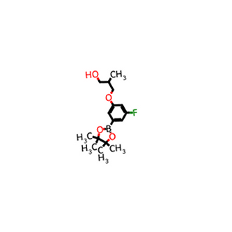 CC(CO)COc1cc(F)cc(B2OC(C)(C)C(C)(C)O2)c1